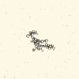 CNC(=O)N(c1ccccc1)C1CCN(C(=O)N[C@H](Cc2cc(Br)c(N)c(Br)c2)C(=O)N[C@@H](CCCCNC(=O)OC(C)(C)C)C(=O)N2CCC(N3CCCCC3)CC2)CC1